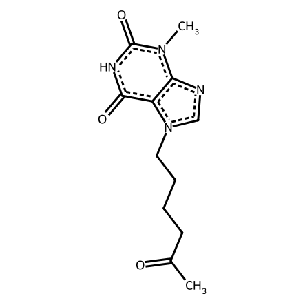 CC(=O)CCCCn1cnc2c1c(=O)[nH]c(=O)n2C